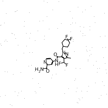 Cc1nn(CC2CCC(F)(F)CC2)c(C(=O)Nc2ccnc(C(N)=O)c2)c1C(F)F